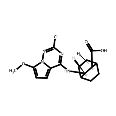 COc1ccc2c(N[C@H]3C4CCC(CC4)[C@@H]3C(=O)O)nc(Cl)nn12